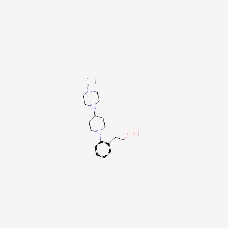 CN1CCN(C2CCN(c3ccccc3CCO)CC2)CC1